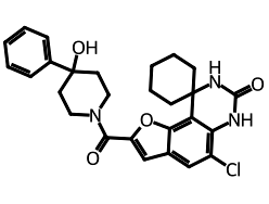 O=C1Nc2c(Cl)cc3cc(C(=O)N4CCC(O)(c5ccccc5)CC4)oc3c2C2(CCCCC2)N1